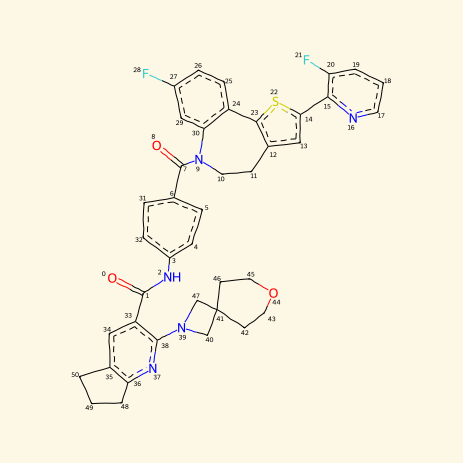 O=C(Nc1ccc(C(=O)N2CCc3cc(-c4ncccc4F)sc3-c3ccc(F)cc32)cc1)c1cc2c(nc1N1CC3(CCOCC3)C1)CCC2